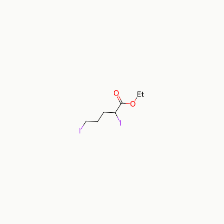 CCOC(=O)C(I)CCCI